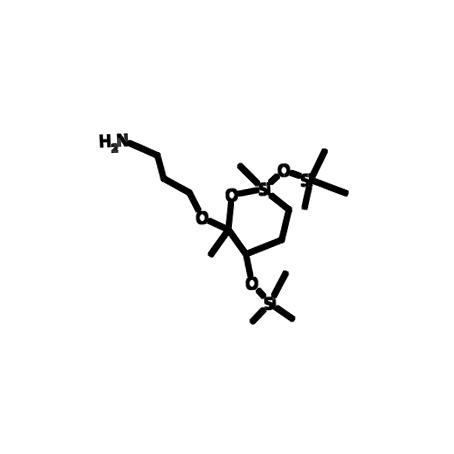 CC1(OCCCN)O[Si](C)(O[Si](C)(C)C)CCC1O[Si](C)(C)C